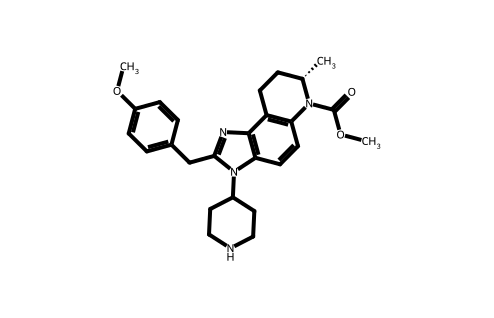 COC(=O)N1c2ccc3c(nc(Cc4ccc(OC)cc4)n3C3CCNCC3)c2CC[C@@H]1C